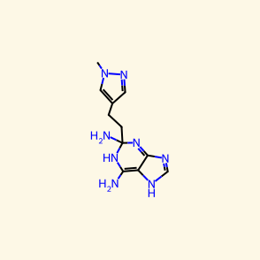 Cn1cc(CCC2(N)N=c3nc[nH]c3=C(N)N2)cn1